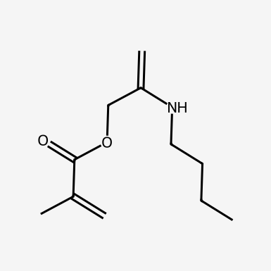 C=C(COC(=O)C(=C)C)NCCCC